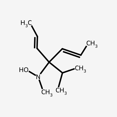 CC=CC(C=CC)(C(C)C)N(C)O